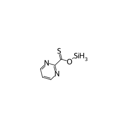 [SiH3]OC(=S)c1ncccn1